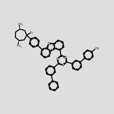 CCC1(c2ccc(-c3cccc4c3oc3cccc(-c5nc(-c6cccc(-c7ccccc7)c6)nc(-c6cccc(-c7ccc(C#N)cc7)c6)n5)c34)cc2)C[C@H](C)CC[C@H](C)C1